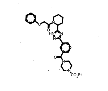 CCOC(=O)N1CCN(C(=O)c2cccc(-c3n[nH]c(C4CCCCN4C(=O)COc4ccccc4)n3)c2)CC1